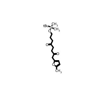 Cc1ccc(CC(=O)CCC(=O)CCCO[Si](C)(C)C(C)(C)C)o1